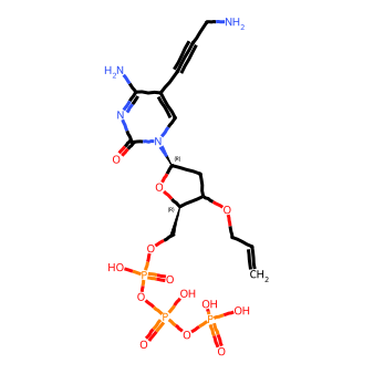 C=CCOC1C[C@H](n2cc(C#CCN)c(N)nc2=O)O[C@@H]1COP(=O)(O)OP(=O)(O)OP(=O)(O)O